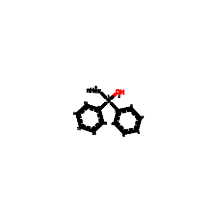 CCCCCC[Si](O)(c1ccccc1)c1ccccc1